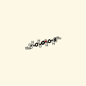 CC(C)(C)OC(=O)NCC1CCC(NC(=O)c2ccc(C(=O)NC3CCC(CNC(=O)OC(C)(C)C)CC3)cc2)CC1